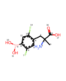 CC(N)(Cc1cc(F)c(B(O)O)cc1F)C(=O)O